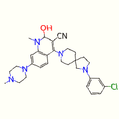 CN1CCN(c2ccc3c(c2)N(C)C(O)C(C#N)=C3N2CCC3(CC2)CCN(c2cccc(Cl)c2)C3)CC1